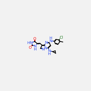 Cc1ccc(Nc2cc(NC3CC3)n3ncc(/C=C4\NC(=O)NC4=O)c3n2)cc1Cl